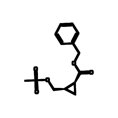 CS(=O)(=O)OC[C@@H]1C[C@@H]1C(=O)OCc1ccccc1